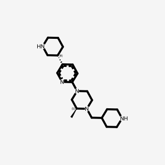 C[C@H]1CN(c2ccc([C@H]3CCCNC3)cn2)CCN1CC1CCNCC1